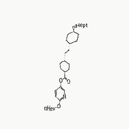 CCCCCCC[C@H]1CC[C@H](CC[C@H]2CC[C@H](C(=O)Oc3ccc(OCCCCCC)nc3)CC2)CC1